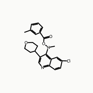 Cc1cccc(C(=O)ON(C)c2c(C3CCOCC3)cnc3ccc(Cl)cc23)c1